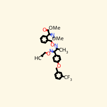 C#CCON=C(C(C)=NOCc1ccccc1C(=NOC)C(=O)OC)c1ccc(OCc2cccc(C(F)(F)F)c2)cc1